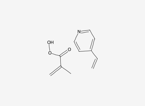 C=C(C)C(=O)OO.C=Cc1ccncc1